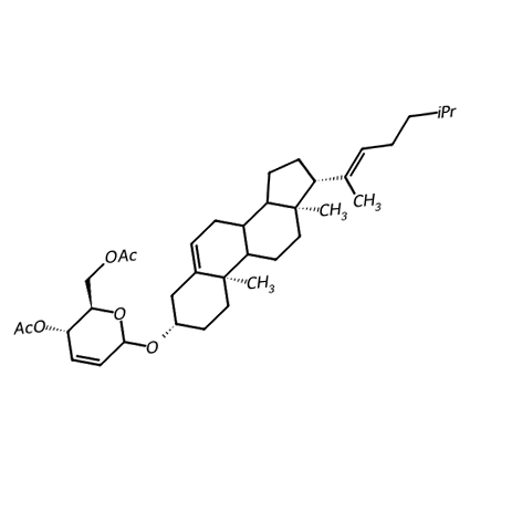 CC(=O)OC[C@H]1OC(O[C@H]2CC[C@@]3(C)C(=CCC4C3CC[C@@]3(C)C4CC[C@@H]3/C(C)=C/CCC(C)C)C2)C=C[C@@H]1OC(C)=O